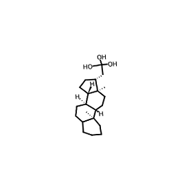 C[C@]12CC[C@H]3[C@@H](CCC4CCCC[C@@]43C)[C@@H]1CC[C@@H]2CC(O)(O)O